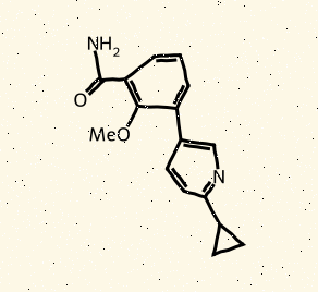 COc1c(C(N)=O)cccc1-c1ccc(C2CC2)nc1